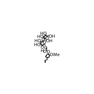 C=CCc1ccc(OC(=O)COC[C@H]2O[C@H](O[C@]3(CO)O[C@H](CO)[C@@H](O)[C@@H]3O)[C@H](O)[C@@H](O)[C@@H]2O)c(OC)c1